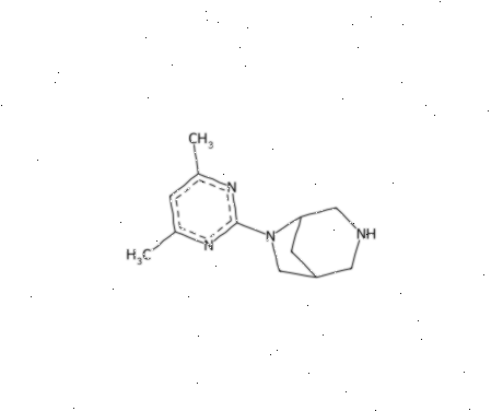 Cc1cc(C)nc(N2CC3CNCC2C3)n1